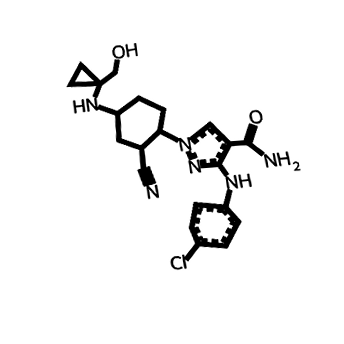 N#CC1CC(NC2(CO)CC2)CCC1n1cc(C(N)=O)c(Nc2ccc(Cl)cc2)n1